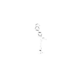 CCC(=O)N(CCCCCCC(=O)NO)c1ccc(-c2ccc3cc[nH]c3c2)cc1